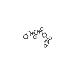 O=C(c1ccc(C(=O)N2C3CCC2COC3)cc1)N1CC[C@H](N2CCc3ccccc3C2)[C@@H](O)C1